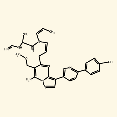 C/C=C\N(/C=C\Cc1nc2c(-c3ccc(-c4ccc(O)cc4)nc3)cnn2c(N)c1COC)C(=O)C(N)NC=N